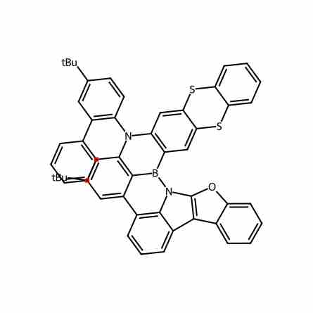 CC(C)(C)c1ccc(N2c3cc4c(cc3B3c5c(cc(C(C)(C)C)cc52)-c2cccc5c6c7ccccc7oc6n3c25)Sc2ccccc2S4)c(-c2ccccc2)c1